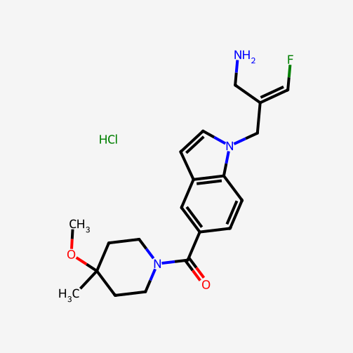 COC1(C)CCN(C(=O)c2ccc3c(ccn3C/C(=C/F)CN)c2)CC1.Cl